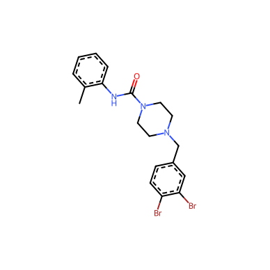 Cc1ccccc1NC(=O)N1CCN(Cc2ccc(Br)c(Br)c2)CC1